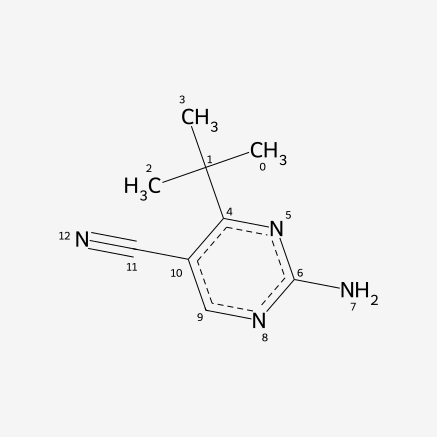 CC(C)(C)c1nc(N)ncc1C#N